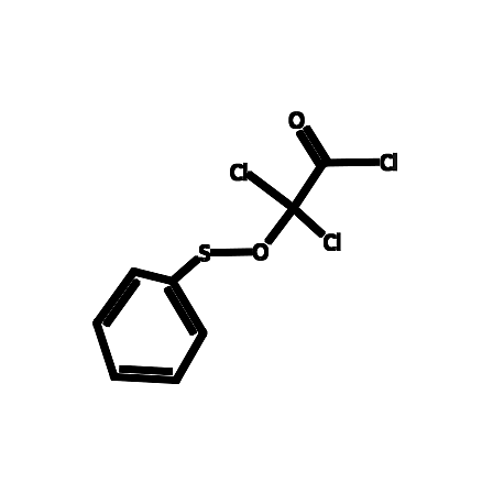 O=C(Cl)C(Cl)(Cl)OSc1ccccc1